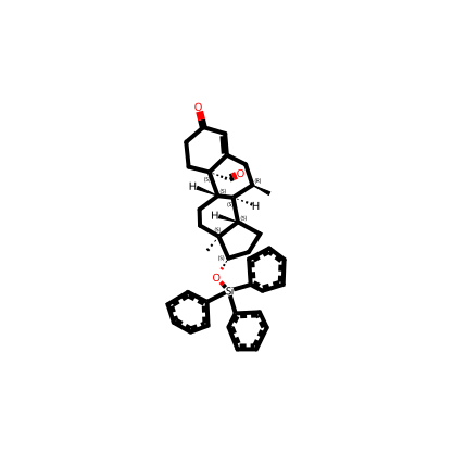 C[C@@H]1CC2=CC(=O)CC[C@]2(C=O)[C@H]2CC[C@]3(C)[C@@H](O[Si](c4ccccc4)(c4ccccc4)c4ccccc4)CC[C@H]3[C@H]12